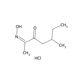 CCC(C)CC(=O)/C(C)=N\O.Cl